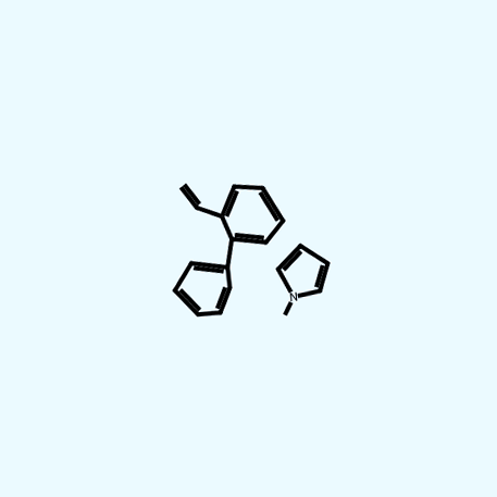 C=Cc1ccccc1-c1ccccc1.Cn1cccc1